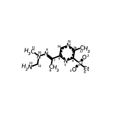 CCS(=O)(=O)c1nc(/C(C)=N/N(C)CN)cnc1C